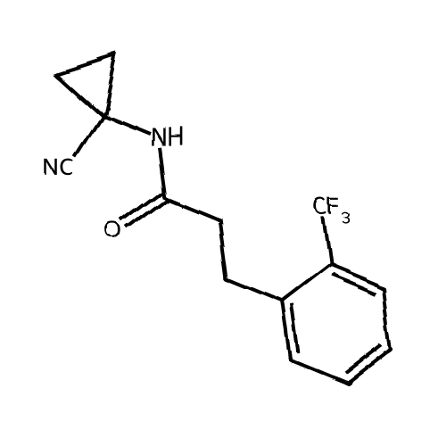 N#CC1(NC(=O)CCc2ccccc2C(F)(F)F)CC1